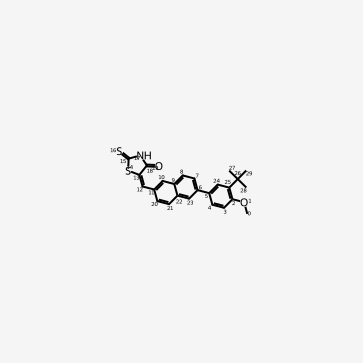 COc1ccc(-c2ccc3cc(C=C4SC(=S)NC4=O)ccc3c2)cc1C(C)(C)C